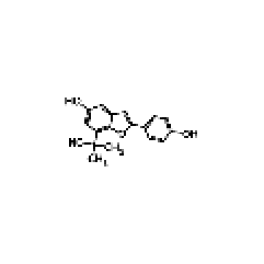 CC(C)(C#N)c1cc(O)cc2cc(-c3ccc(O)cc3)oc12